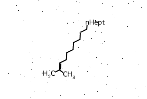 [CH2]C(C)=CCCCCCCCCCCCCCC